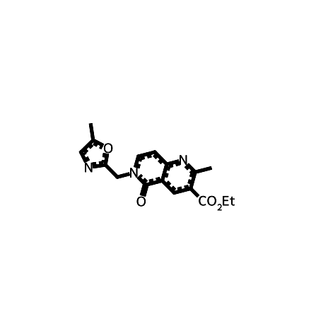 CCOC(=O)c1cc2c(=O)n(Cc3ncc(C)o3)ccc2nc1C